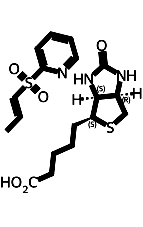 CC=CS(=O)(=O)c1ccccn1.O=C(O)CCCC[C@@H]1SC[C@@H]2NC(=O)N[C@@H]21